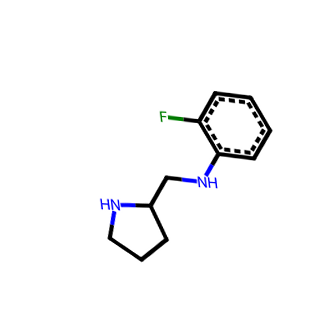 Fc1ccccc1NCC1CCCN1